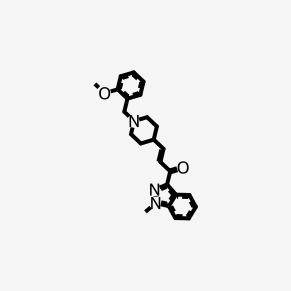 COc1ccccc1CN1CCC(/C=C/C(=O)c2nn(C)c3ccccc23)CC1